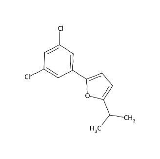 CC(C)c1ccc(-c2cc(Cl)cc(Cl)c2)o1